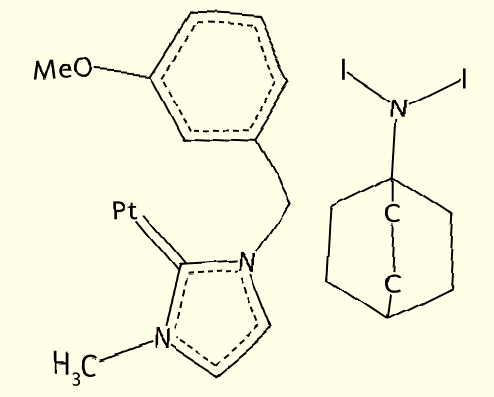 COc1cccc(Cn2ccn(C)[c]2=[Pt])c1.IN(I)C12CCC(CC1)CC2